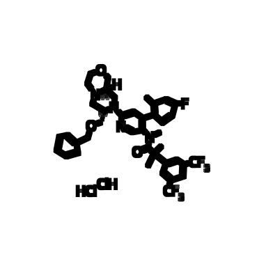 Cc1cc(F)ccc1-c1cc(N2C[C@H]3COCCN3C[C@H]2COCc2ccccc2)ncc1N(C)C(=O)C(C)(C)c1cc(C(F)(F)F)cc(C(F)(F)F)c1.Cl.Cl